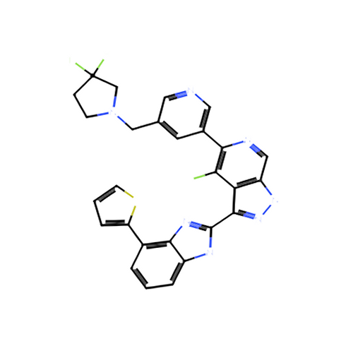 Fc1c(-c2cncc(CN3CCC(F)(F)C3)c2)ncc2[nH]nc(-c3nc4c(-c5cccs5)cccc4[nH]3)c12